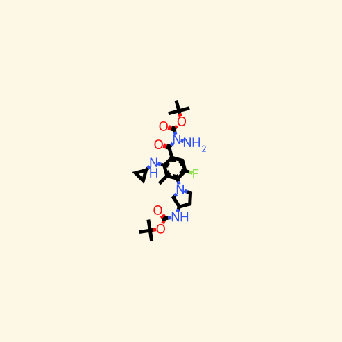 Cc1c(NC2CC2)c(C(=O)N(N)C(=O)OC(C)(C)C)cc(F)c1N1CCC(NC(=O)OC(C)(C)C)C1